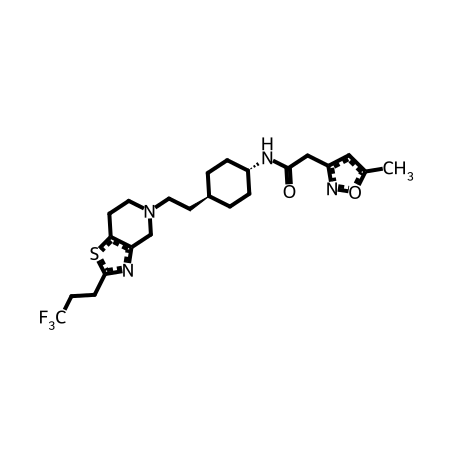 Cc1cc(CC(=O)N[C@H]2CC[C@H](CCN3CCc4sc(CCC(F)(F)F)nc4C3)CC2)no1